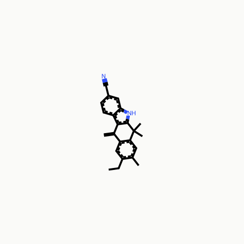 C=C1c2cc(CC)c(C)cc2C(C)(C)c2[nH]c3cc(C#N)ccc3c21